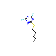 CCCCCSc1nc(F)nc(F)n1